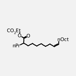 CCCCCCCC/C=C\CCCCCCC(CCC)C(=O)OC(=O)OCC